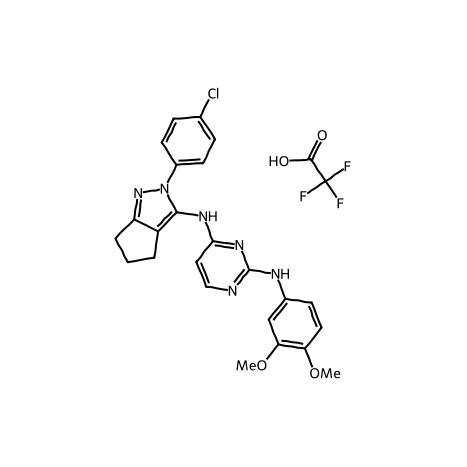 COc1ccc(Nc2nccc(Nc3c4c(nn3-c3ccc(Cl)cc3)CCC4)n2)cc1OC.O=C(O)C(F)(F)F